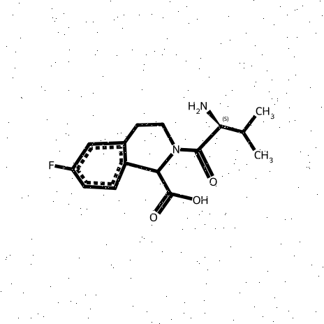 CC(C)[C@H](N)C(=O)N1CCc2cc(F)ccc2C1C(=O)O